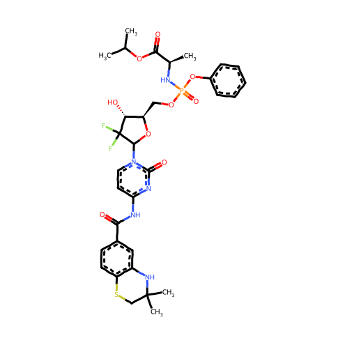 CC(C)OC(=O)[C@@H](C)NP(=O)(OC[C@H]1OC(n2ccc(NC(=O)c3ccc4c(c3)NC(C)(C)CS4)nc2=O)C(F)(F)[C@@H]1O)Oc1ccccc1